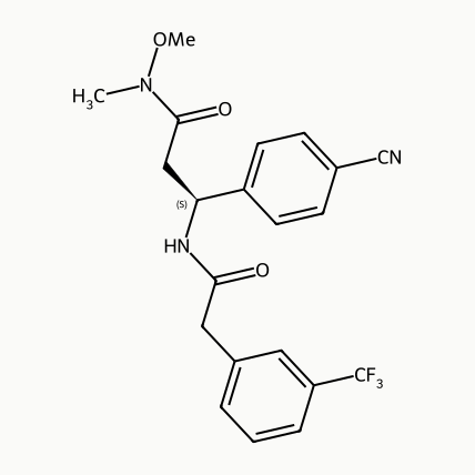 CON(C)C(=O)C[C@H](NC(=O)Cc1cccc(C(F)(F)F)c1)c1ccc(C#N)cc1